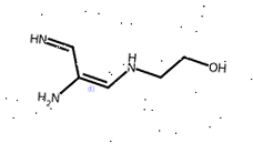 N=C/C(N)=C\NCCO